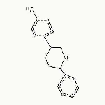 Cc1ccc(C2CCC(c3cnccn3)NC2)cc1